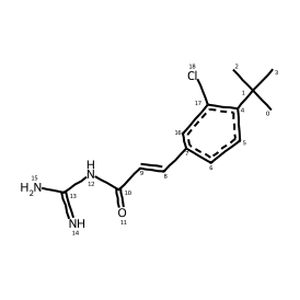 CC(C)(C)c1ccc(/C=C/C(=O)NC(=N)N)cc1Cl